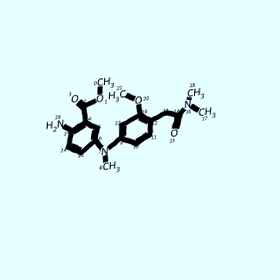 COC(=O)c1cc(N(C)c2ccc(CC(=O)N(C)C)c(OC)c2)ccc1N